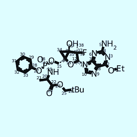 CCOc1nc(N)nc2c1ncn2[C@@H]1O[C@@]2(COP(=O)(NC(C)C(=O)OCC(C)(C)C)Oc3ccccc3)C[C@]2(O)[C@@]1(C)F